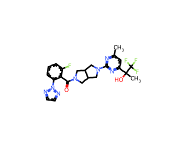 Cc1cc(C(C)(O)C(F)(F)F)nc(N2CC3CN(C(=O)c4c(F)cccc4-n4nccn4)CC3C2)n1